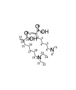 C=C(CCCCCN(C)C)C(=O)O.C=C(CCCCCN(CC)CC)C(=O)O